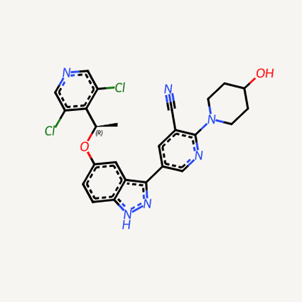 C[C@@H](Oc1ccc2[nH]nc(-c3cnc(N4CCC(O)CC4)c(C#N)c3)c2c1)c1c(Cl)cncc1Cl